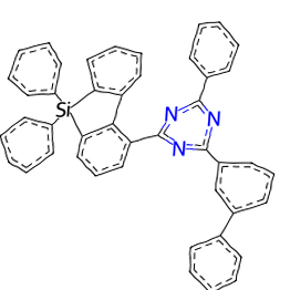 c1ccc(-c2cccc(-c3nc(-c4ccccc4)nc(-c4cccc5c4-c4ccccc4[Si]5(c4ccccc4)c4ccccc4)n3)c2)cc1